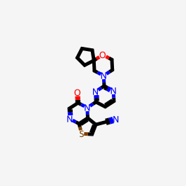 N#Cc1csc2ncc(=O)n(-c3ccnc(N4CCOC5(CCCC5)C4)n3)c12